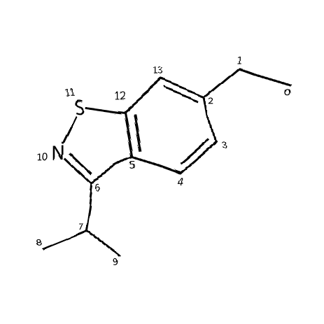 CCc1ccc2c(C(C)C)nsc2c1